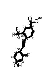 COC(=O)c1ccc(C#Cc2ccc(O)cc2F)c(C(F)(F)F)c1